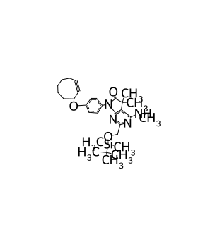 CNc1nc(CO[Si](C)(C)C(C)(C)C)nc2c1C(C)(C)C(=O)N2c1ccc(OC2C#CCCCCC2)cc1